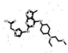 CCN(CCOC)C1CCC(Nc2nc(Nc3cnn(CC(=O)O)c3)nc3snc(C)c23)CC1